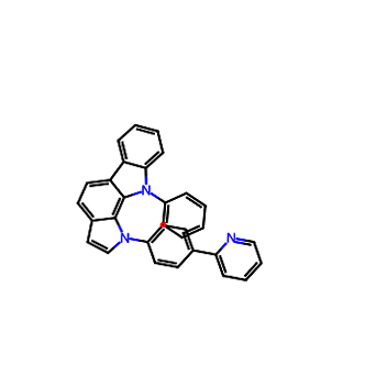 c1ccc(-n2c3ccccc3c3ccc4ccn(-c5ccc(-c6ccccn6)cc5)c4c32)cc1